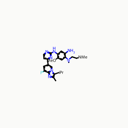 CNCCN(C)c1cc(OC)c(Nc2nccc(-c3cc(F)c4nc(C)c(C(C)C)n4c3)n2)cc1N